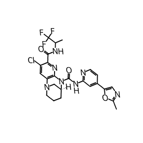 Cc1ncc(-c2ccnc(NC(=O)N3c4nc(C(=O)NC(C)C(F)(F)F)c(Cl)cc4N4CCC[C@H]3C4)c2)o1